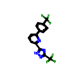 FC(F)(F)c1ccc(-c2cccc(-c3nc(C(F)(F)F)n[nH]3)n2)cc1